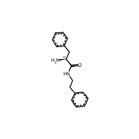 N[C@@H](Cc1ccccc1)C(=O)NCCc1ccccc1